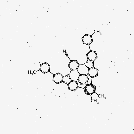 Cc1cccc(-c2ccc3c4ccc(-c5cccc(C)c5)cc4n(-c4cc(C#N)cc(-n5c6cc(-c7cccc(C)c7)ccc6c6ccc(-c7cccc(C)c7)cc65)c4-c4ccncc4)c3c2)c1